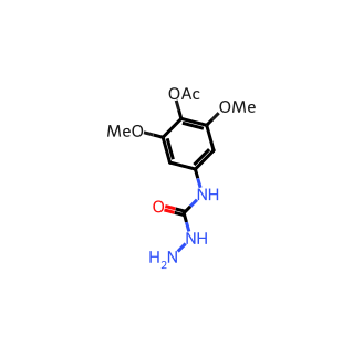 COc1cc(NC(=O)NN)cc(OC)c1OC(C)=O